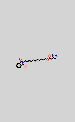 C/C(N)=C/C(=O)OCCCCCCCCCCCN1C(=O)c2ccccc2C1=O